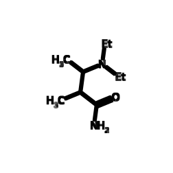 CCN(CC)C(C)C(C)C(N)=O